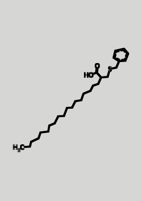 CCCCCCCCCCCCCCCCCCC(CSCc1ccccc1)C(=O)O